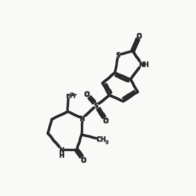 CCCC1CCNC(=O)C(C)N1S(=O)(=O)c1ccc2[nH]c(=O)sc2c1